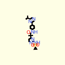 C=C(C)c1cncc(-c2ccc(NC(=O)C(C)(C)c3ccnc(NS(=O)(=O)C4CC4)n3)cc2)n1